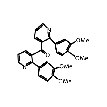 COc1ccc(-c2ncccc2C(=O)c2cccnc2-c2ccc(OC)c(OC)c2)cc1OC